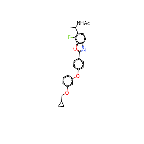 CC(=O)NC(C)c1ccc2nc(-c3ccc(Oc4cccc(OCC5CC5)c4)cc3)oc2c1F